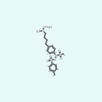 CCCCCCCN(CC)CCCCc1ccc(N(OS(=O)(=O)c2ccc(C)cc2)S(C)(=O)=O)cc1